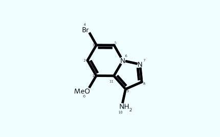 COc1cc(Br)cn2ncc(N)c12